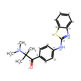 CN(C)C(C)(C)C(=O)c1ccc(Nc2nc3ccccc3s2)cc1